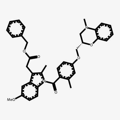 COc1ccc2c(c1)c(CC(=O)OCc1ccccc1)c(C)n2C(=O)c1ccc(OC[C@@H]2CN(C)c3ccccc3O2)cc1C